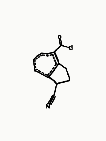 N#CC1CCc2c(C(=O)Cl)cccc21